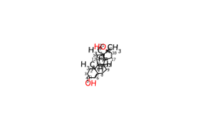 C[C@]12CC[C@H](O)C=C1CC[C@@H]1[C@@H]2CC[C@@]2(C)[C@H]1CC[C@@]2(C)O